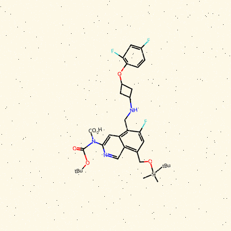 CC(C)(C)OC(=O)N(C(=O)O)c1cc2c(CNC3CC(Oc4ccc(F)cc4F)C3)c(F)cc(CO[Si](C)(C)C(C)(C)C)c2cn1